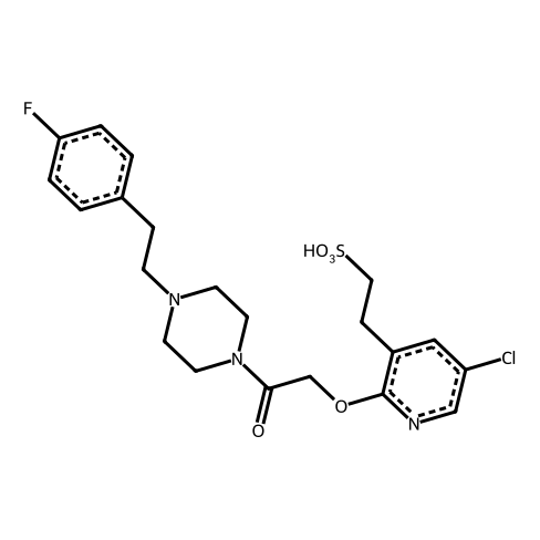 O=C(COc1ncc(Cl)cc1CCS(=O)(=O)O)N1CCN(CCc2ccc(F)cc2)CC1